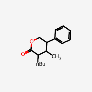 CCCCC1C(=O)OCC(c2ccccc2)C1C